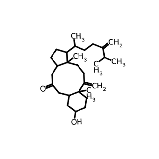 C=C(CCC(C)C1CCC2CC(=O)CC3CC(O)CCC3(C)C(=C)CCC21C)C(C)C